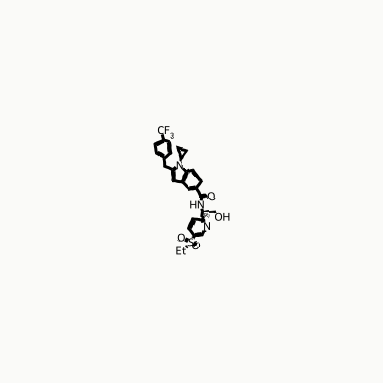 CCS(=O)(=O)c1ccc([C@H](CO)NC(=O)c2ccc3c(c2)cc(Cc2ccc(C(F)(F)F)cc2)n3C2CC2)nc1